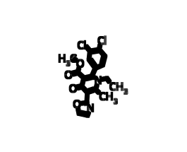 CCn1c(C)c(-c2ncco2)c(=O)c(C(=O)OC)c1-c1ccc(Cl)c(Cl)c1